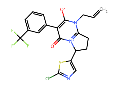 C=CCn1c([O-])c(-c2cccc(C(F)(F)F)c2)c(=O)[n+]2c1CCC2c1cnc(Cl)s1